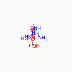 CCC(=O)N[C@@H](CCCCN)C(=O)NCC(=O)N[C@H](C(=O)CCC(=O)O)[C@@H](C)O